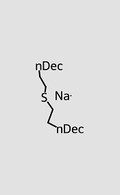 CCCCCCCCCCCCSCCCCCCCCCCCC.[Na]